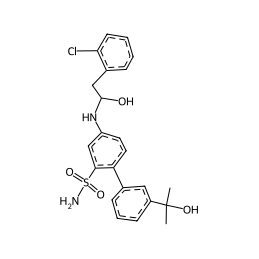 CC(C)(O)c1cccc(-c2ccc(NC(O)Cc3ccccc3Cl)cc2S(N)(=O)=O)c1